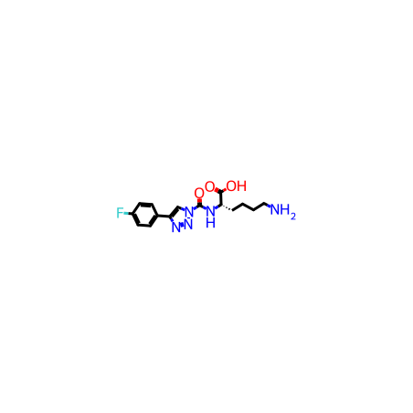 NCCCC[C@H](NC(=O)n1cc(-c2ccc(F)cc2)nn1)C(=O)O